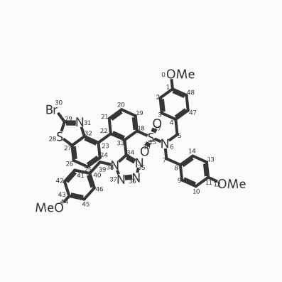 COc1ccc(CN(Cc2ccc(OC)cc2)S(=O)(=O)c2cccc(-c3cccc4sc(Br)nc34)c2-c2nnnn2Cc2ccc(OC)cc2)cc1